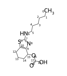 CCCCCCNc1nc2c(s1)CCCC2OC(=O)O